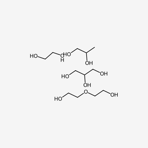 CC(O)CO.OCC(O)CO.OCCO.OCCOCCO